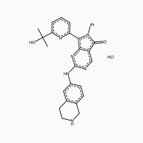 CC(C)n1c(=O)c2cnc(Nc3ccc4c(c3)CCNC4)nc2n1-c1cccc(C(C)(C)O)n1.Cl